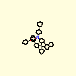 c1ccc(-c2ccc(N(c3ccc(-c4ccccc4)cc3)c3ccc4c(c3)C3(c5ccccc5-c5ccc(-c6ccccc6)cc53)c3ccc5ccccc5c3-4)cc2)cc1